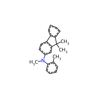 Cc1ccccc1N(C)c1ccc2c(c1)C(C)(C)c1ccccc1-2